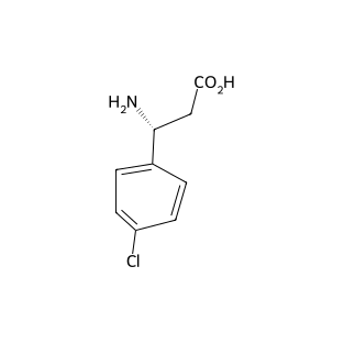 N[C@H](CC(=O)O)c1ccc(Cl)cc1